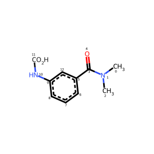 CN(C)C(=O)c1cccc(NC(=O)O)c1